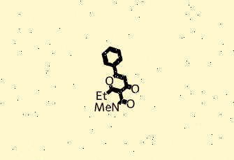 CCc1oc(-c2ccccc2)cc(=O)c1C(=O)NC